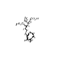 C[C@H](CCCc1cccc(F)c1F)C[C@H](N)CC(=O)O